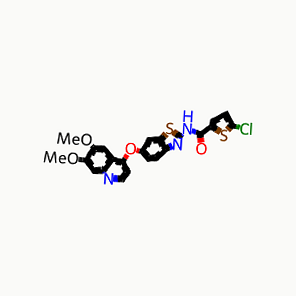 COc1cc2nccc(Oc3ccc4nc(NC(=O)c5ccc(Cl)s5)sc4c3)c2cc1OC